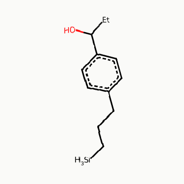 CCC(O)c1ccc(CCC[SiH3])cc1